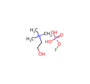 C[N+](C)(C)CCO.O=P(O)(O)OF